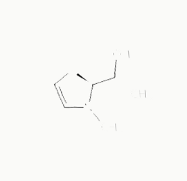 C[C@@H](O)[C@@H]1SC=CN1C